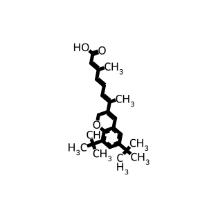 CC(/C=C/C=C(\C)C1=Cc2cc(C(C)(C)C)cc(C(C)(C)C)c2OC1)=C\C(=O)O